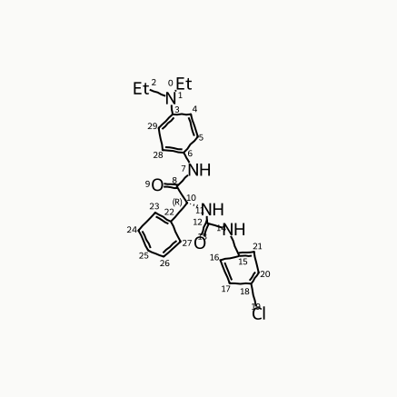 CCN(CC)c1ccc(NC(=O)[C@H](NC(=O)Nc2ccc(Cl)cc2)c2ccccc2)cc1